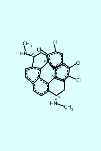 CN[C@H]1CC[C@@H](c2ccc(Cl)c(Cl)c2)c2c1ccc1ccc3c(c21)[C@H](c1ccc(Cl)c(Cl)c1)CC[C@@H]3NC